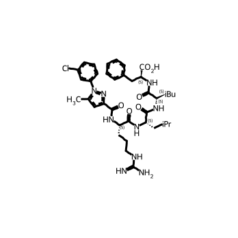 CC[C@H](C)[C@H](NC(=O)[C@H](CC(C)C)NC(=O)[C@H](CCCNC(=N)N)NC(=O)c1cc(C)n(-c2cccc(Cl)c2)n1)C(=O)N[C@@H](Cc1ccccc1)C(=O)O